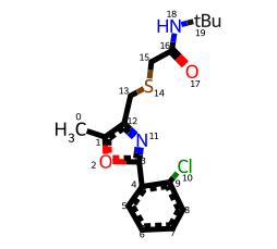 Cc1oc(-c2ccccc2Cl)nc1CSCC(=O)NC(C)(C)C